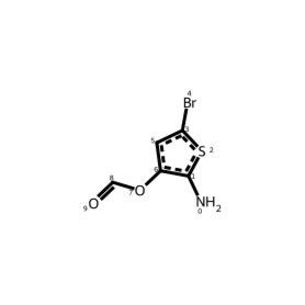 Nc1sc(Br)cc1OC=O